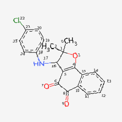 CC1(C)OC2=C(C(=O)C(=O)c3ccccc32)C1Nc1ccc(Cl)cc1